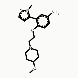 COC1CCN(CCOc2ccc(N)cc2-c2ccnn2C)CC1